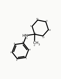 CC1(Nc2[c]cccc2)CCCCC1